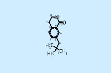 CC(C)(C)Cc1ccc2c(c1)C(=O)NCC2